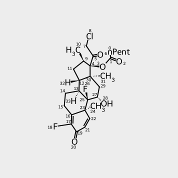 CCCCCC(=O)O[C@]1(C(=O)CCl)[C@H](C)C[C@H]2[C@@H]3CCC4=C(F)C(=O)C=C[C@]4(C)[C@@]3(F)[C@@H](O)C[C@@]21C